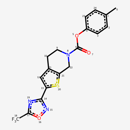 Cc1ccc(OC(=O)N2CCc3cc(-c4noc(C(F)(F)F)n4)sc3C2)cc1